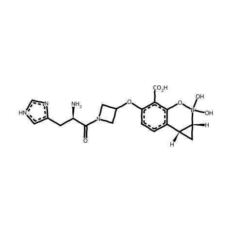 N[C@H](Cc1c[nH]cn1)C(=O)N1CC(Oc2ccc3c(c2C(=O)O)O[B-](O)(O)[C@@H]2C[C@H]32)C1